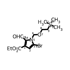 CCOC(=O)c1cc(Br)n(COCC[Si](C)(C)C)c1C=O